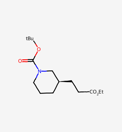 CCOC(=O)CC[C@H]1CCCN(C(=O)OC(C)(C)C)C1